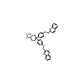 O=COC1CCC(c2ccc(OCc3ccc4ccccc4n3)cc2)(c2ccc(OCc3ccc4ccccc4n3)cc2)CC1